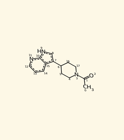 CC(=O)N1CCC(c2c[nH]c3ncccc23)CC1